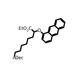 CCCCCCCCCCCCCCCCC(Oc1cccc2cc3ccccc3cc12)C(=O)OCC